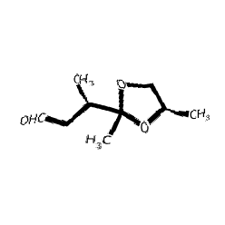 C[C@@H]1COC(C)([C@H](C)CC=O)O1